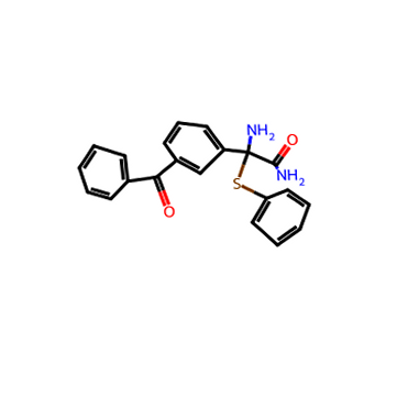 NC(=O)C(N)(Sc1ccccc1)c1cccc(C(=O)c2ccccc2)c1